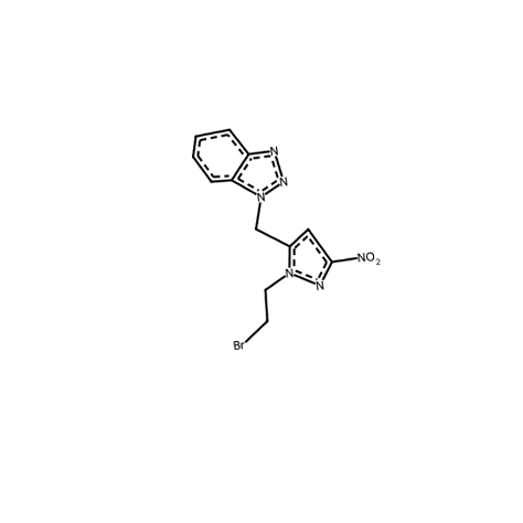 O=[N+]([O-])c1cc(Cn2nnc3ccccc32)n(CCBr)n1